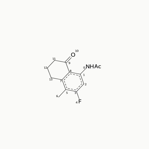 CC(=O)Nc1cc(F)c(C)c2c1C(=O)CCC2